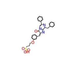 O=C1C(=Cc2cccc(OCCCS(=O)(=O)O)c2)N=C2C(Cc3ccccc3)=NC(c3ccccc3)=CN12